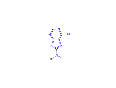 CCN(C)c1nc2c(N)ncn(C)c-2n1